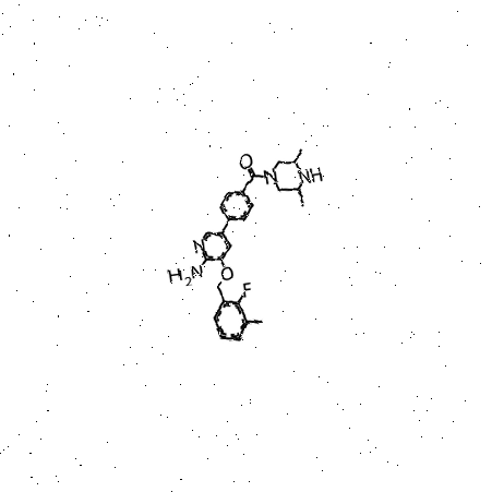 Cc1cccc(COc2cc(-c3ccc(C(=O)N4CC(C)NC(C)C4)cc3)cnc2N)c1F